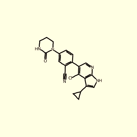 N#Cc1cc(N2CCCNC2=O)ccc1-c1cnc2[nH]cc(C3CC3)c2c1Cl